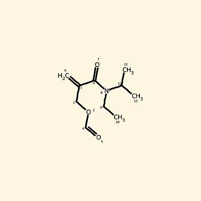 C=C(COC=O)C(=O)N(CC)C(C)C